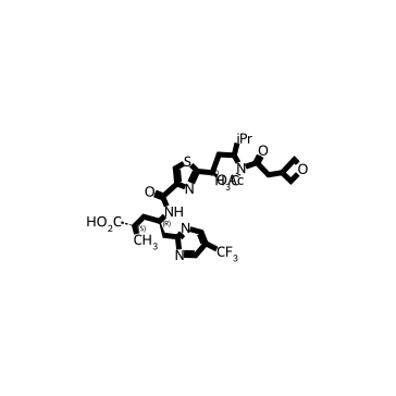 CC(=O)O[C@H](CC(C(C)C)N(C)C(=O)CC1COC1)c1nc(C(=O)N[C@@H](Cc2ncc(C(F)(F)F)cn2)C[C@H](C)C(=O)O)cs1